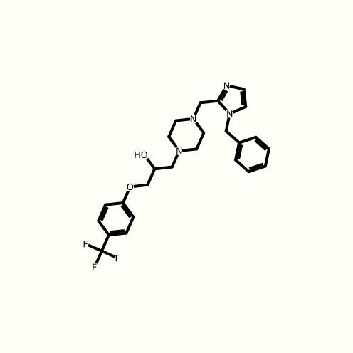 OC(COc1ccc(C(F)(F)F)cc1)CN1CCN(Cc2nccn2Cc2ccccc2)CC1